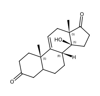 C[C@]12CCC(=O)CC1CC[C@@H]1C2=CC[C@]2(C)C(=O)CC[C@]12O